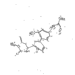 C=CCC(NC(=O)OC(C)(C)C)c1cc(-c2ccc(NC(=O)OC)cc2C(=O)O)ccn1